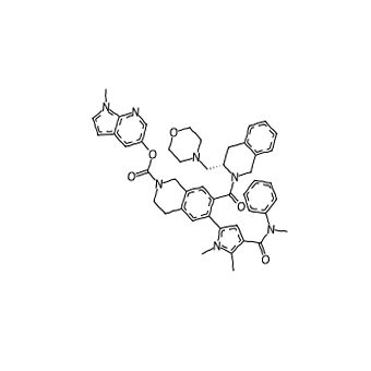 Cc1c(C(=O)N(C)c2ccccc2)cc(-c2cc3c(cc2C(=O)N2Cc4ccccc4C[C@H]2CN2CCOCC2)CN(C(=O)Oc2cnc4c(ccn4C)c2)CC3)n1C